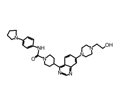 O=C(Nc1ccc(N2CCCC2)cc1)N1CCC(c2ncnc3cc(N4CCN(CCO)CC4)ccc23)CC1